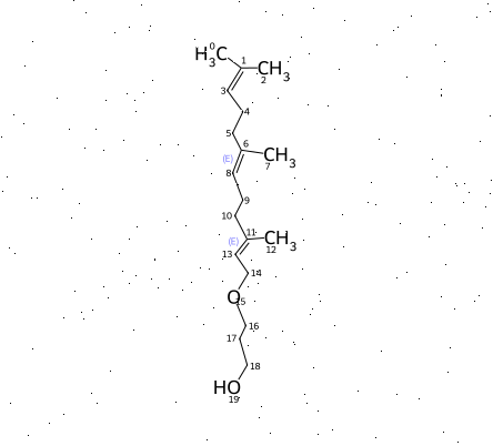 CC(C)=CCC/C(C)=C/CC/C(C)=C/COCCCO